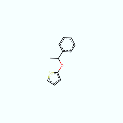 CC(Oc1cccs1)c1ccccc1